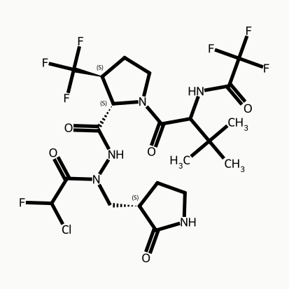 CC(C)(C)C(NC(=O)C(F)(F)F)C(=O)N1CC[C@H](C(F)(F)F)[C@H]1C(=O)NN(C[C@@H]1CCNC1=O)C(=O)C(F)Cl